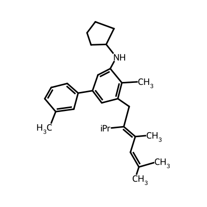 CC(C)=C/C(C)=C(/Cc1cc(-c2cccc(C)c2)cc(NC2CCCC2)c1C)C(C)C